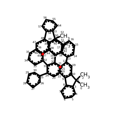 CC1(C)c2ccccc2-c2ccc(-c3ccccc3N(c3cccc(-c4ccccc4)c3-c3ccccc3-c3ccccc3)c3cccc4c3C(C)(C)c3ccccc3-4)cc21